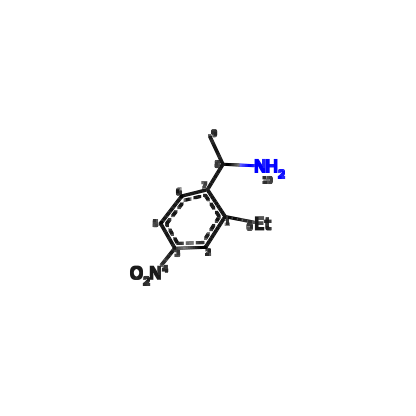 CCc1cc([N+](=O)[O-])ccc1C(C)N